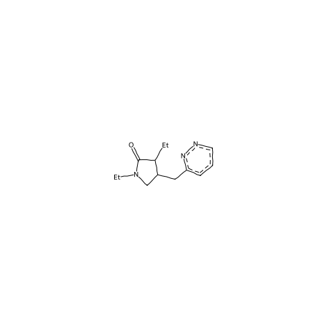 CCC1C(=O)N(CC)CC1Cc1cccnn1